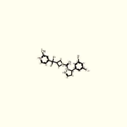 N#Cc1cc(C(F)(F)C2CN(C(=O)N3N=CCC3c3cc(F)cc(F)c3)C2)ccn1